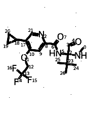 CN[C@](C=O)(NC(=O)c1cc(OCC(F)(F)F)c(C2CC2)cn1)C(C)(C)C